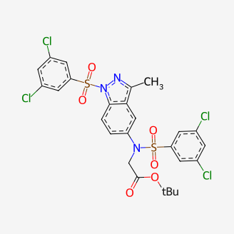 Cc1nn(S(=O)(=O)c2cc(Cl)cc(Cl)c2)c2ccc(N(CC(=O)OC(C)(C)C)S(=O)(=O)c3cc(Cl)cc(Cl)c3)cc12